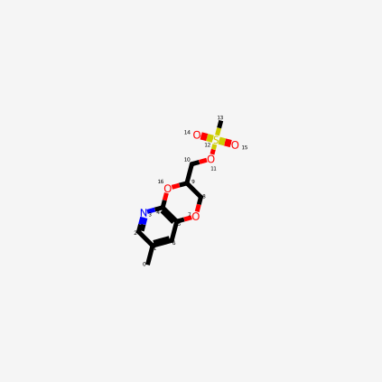 Cc1cnc2c(c1)OCC(COS(C)(=O)=O)O2